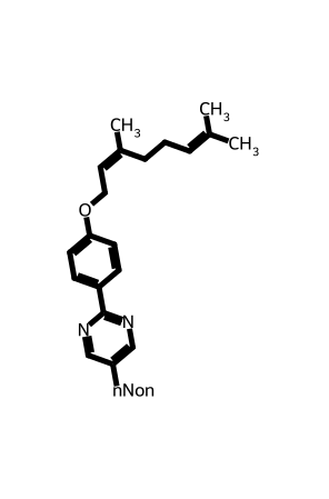 CCCCCCCCCc1cnc(-c2ccc(OCC=C(C)CCC=C(C)C)cc2)nc1